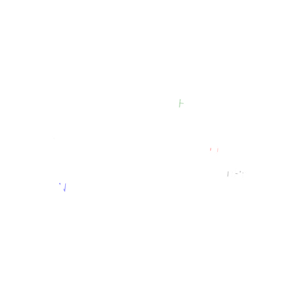 CCCOc1ccc(-c2c[c]cnc2)cc1F